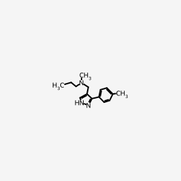 CCCN(C)Cc1c[nH]nc1-c1ccc(C)cc1